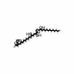 CCCCCCCCCCCC[C@@H](O)[C@H]1CC[C@H]([C@H](O)CC[C@H](O)CCCCCCC[C@@H](O)CC2=C[C@H](C)OC2=O)O1